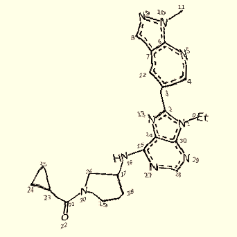 CCn1c(-c2cnc3c(cnn3C)c2)nc2c(NC3CCN(C(=O)C4CC4)C3)ncnc21